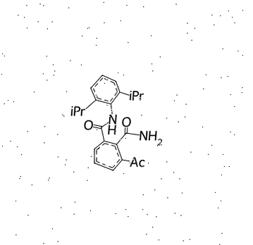 CC(=O)c1cccc(C(=O)Nc2c(C(C)C)cccc2C(C)C)c1C(N)=O